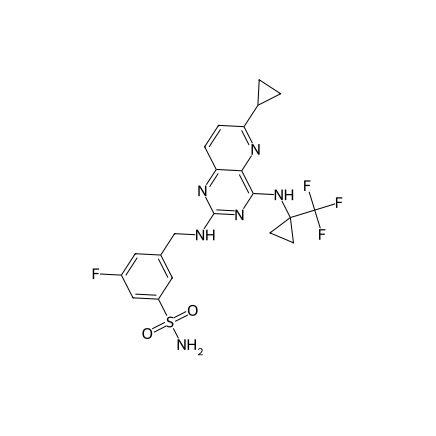 NS(=O)(=O)c1cc(F)cc(CNc2nc(NC3(C(F)(F)F)CC3)c3nc(C4CC4)ccc3n2)c1